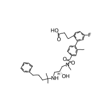 Cc1cc(S(=O)(=O)N(C)C[C@H](O)CNC(C)(C)CCCc2ccccc2)ccc1-c1cc(F)ccc1CCC(=O)O